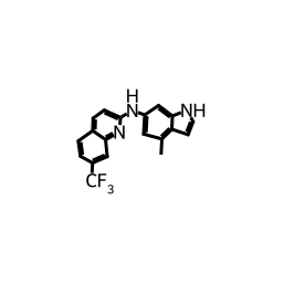 Cc1cc(Nc2ccc3ccc(C(F)(F)F)cc3n2)cc2[nH]ccc12